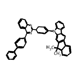 CC1(C)c2cc3c(cc2C2C=CC=CC21)c1ccccc1n3C1=CCC(c2nc(-c3ccc(-c4ccccc4)cc3)c3ccccc3n2)C=C1